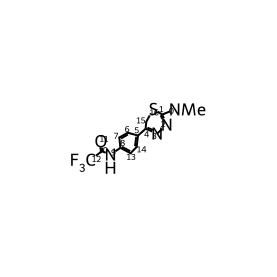 CNC1=NN=C(c2ccc(NC(=O)C(F)(F)F)cc2)CS1